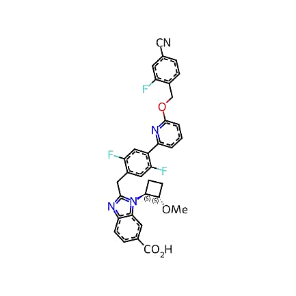 CO[C@H]1CC[C@@H]1n1c(Cc2cc(F)c(-c3cccc(OCc4ccc(C#N)cc4F)n3)cc2F)nc2ccc(C(=O)O)cc21